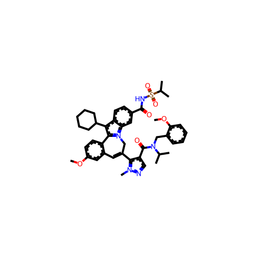 COc1ccc2c(c1)C=C(c1c(C(=O)N(Cc3ccccc3OC)C(C)C)cnn1C)Cn1c-2c(C2CCCCC2)c2ccc(C(=O)NS(=O)(=O)C(C)C)cc21